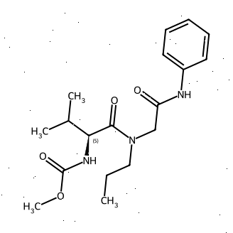 CCCN(CC(=O)Nc1ccccc1)C(=O)[C@@H](NC(=O)OC)C(C)C